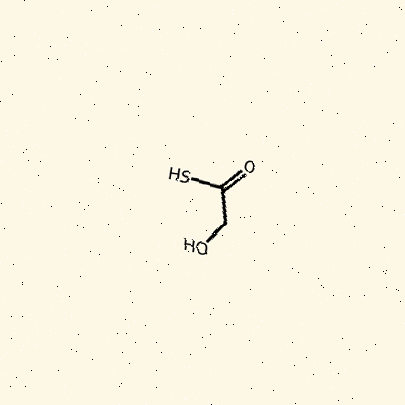 O=C(S)CO